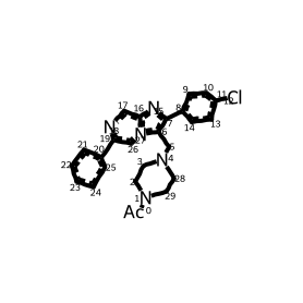 CC(=O)N1CCN(Cc2c(-c3ccc(Cl)cc3)nc3cnc(-c4ccccc4)cn23)CC1